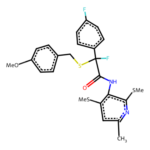 COc1ccc(CSC(F)(C(=O)Nc2c(SC)cc(C)nc2SC)c2ccc(F)cc2)cc1